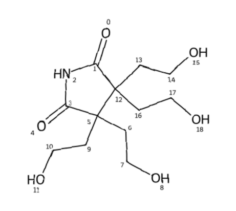 O=C1NC(=O)C(CCO)(CCO)C1(CCO)CCO